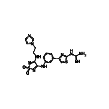 N=C(N)Nc1nc(-c2cccc(NC3=NS(=O)(=O)N=C3NCCn3ccnc3)c2)cs1